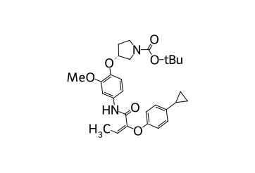 CC=C(Oc1ccc(C2CC2)cc1)C(=O)Nc1ccc(O[C@@H]2CCN(C(=O)OC(C)(C)C)C2)c(OC)c1